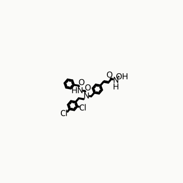 O=C(C=Cc1ccc(CN(CCc2ccc(Cl)cc2Cl)C(=O)NC(=O)c2ccccc2)cc1)NO